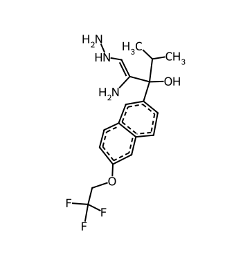 CC(C)C(O)(/C(N)=C/NN)c1ccc2cc(OCC(F)(F)F)ccc2c1